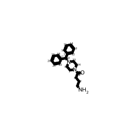 NCCCC(=O)N1CCN(C(c2ccccc2)c2ccccc2)CC1